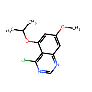 COc1cc(OC(C)C)c2c(Cl)ncnc2c1